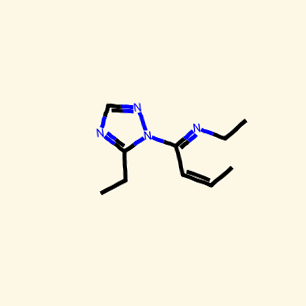 C/C=C\C(=N/CC)n1ncnc1CC